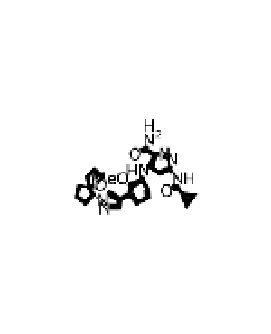 COc1c(Nc2cc(NC(=O)C3CC3)nnc2C(N)=O)cccc1-c1cnn([C@@H]2CCC[C@]23CCCO3)c1